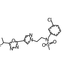 CC(F)c1nnc(-c2cnn(CCN(c3cccc(Cl)c3)S(C)(=O)=O)c2)o1